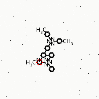 Cc1ccc(-c2nc(-c3ccc(C)cc3)nc(-c3ccc(-c4ccc(-c5cccc(C)n5)cc4-c4ccccc4-c4nc(-c5ccccc5)nc(-c5ccccc5)n4)cc3)n2)cc1